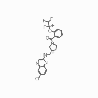 O=C(c1ccccc1OC(F)(F)C(F)F)N1CC[C@@H](CNc2cnc3cc(Cl)ccc3n2)C1